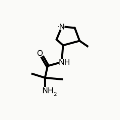 CC1C[N]CC1NC(=O)C(C)(C)N